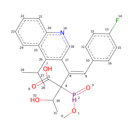 CO[PH](=O)C(C(=O)O)(C(=Cc1ccc(F)cc1)c1cnc2ccccc2c1C(C)C)C(C)O